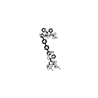 COCC[C@H](NC(=O)OC)C(=O)N1CCC[C@H]1c1ncc(-c2ccc(-c3ccc(-c4cnc([C@@H]5CCCN5C(=O)[C@H]5CCC[C@@H]5N(C)C(=O)O)[nH]4)cc3)cc2)[nH]1